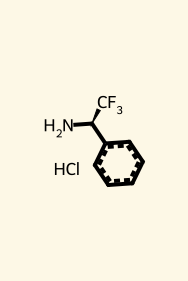 Cl.N[C@H](c1ccccc1)C(F)(F)F